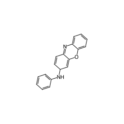 C1=CC(Nc2ccccc2)C=C2Oc3ccccc3N=C12